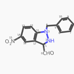 O=CC1NN(Cc2ccccc2)c2ccc([N+](=O)[O-])cc21